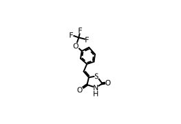 O=C1NC(=O)/C(=C/c2cccc(OC(F)(F)F)c2)S1